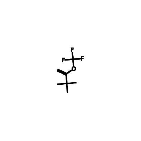 C=C(OC(F)(F)F)C(C)(C)C